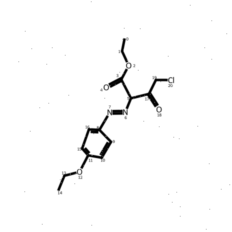 CCOC(=O)C(N=Nc1ccc(OCC)cc1)C(=O)CCl